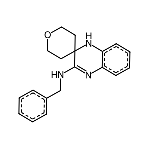 c1ccc(CNC2=Nc3ccccc3NC23CCOCC3)cc1